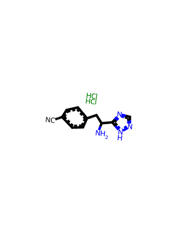 Cl.Cl.N#Cc1ccc(CC(N)c2ncn[nH]2)cc1